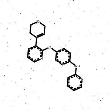 C1=C(c2cccnc2Oc2ccc(Nc3ccccn3)cc2)CCOC1